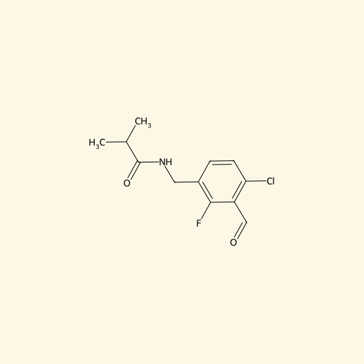 CC(C)C(=O)NCc1ccc(Cl)c(C=O)c1F